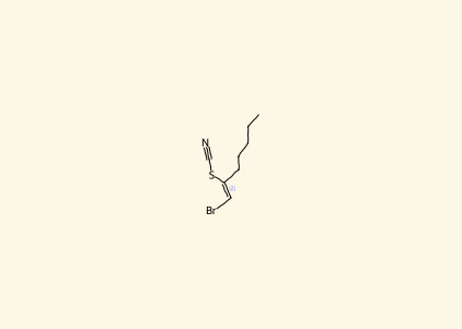 CCCCC/C(=C/Br)SC#N